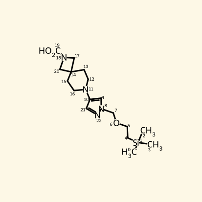 C[Si](C)(C)CCOCn1cc(N2CCC3(CC2)CN(C(=O)O)C3)cn1